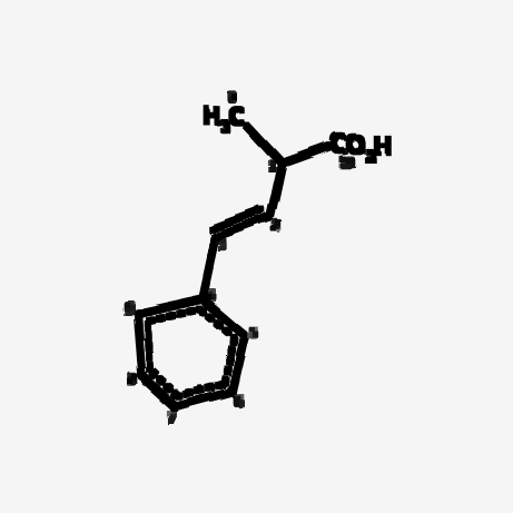 CC(C=Cc1ccccc1)C(=O)O